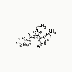 C=Cn1cc(NC(=O)c2cnn3cccnc23)c(-c2cc(Br)ccc2OC(C)F)n1